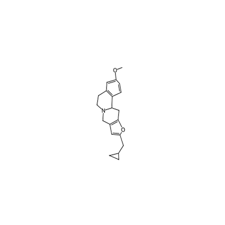 COc1ccc2c(c1)CCN1Cc3cc(CC4CC4)oc3CC21